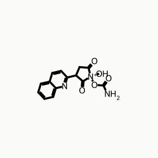 NC(=O)O[N+]1(O)C(=O)CC(c2ccc3ccccc3n2)C1=O